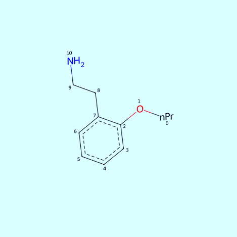 CCCOc1ccccc1CCN